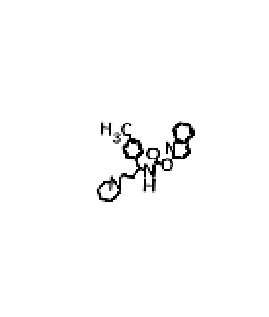 Cc1ccc(C(CCN2CCCCC2)NC(=O)Oc2ccc3ccccc3n2)cc1